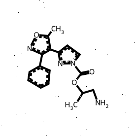 Cc1onc(-c2ccccc2)c1-c1ccn(C(=O)OC(C)CN)n1